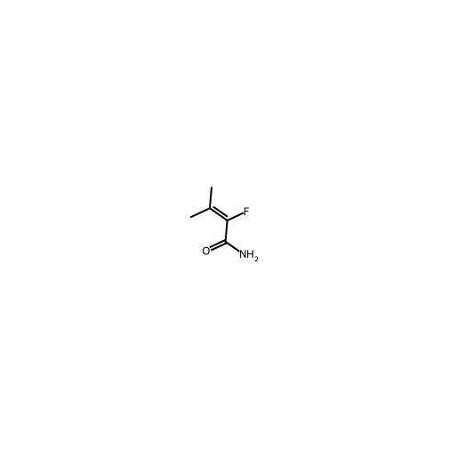 CC(C)=C(F)C(N)=O